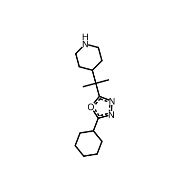 CC(C)(c1nnc(C2CCCCC2)o1)C1CCNCC1